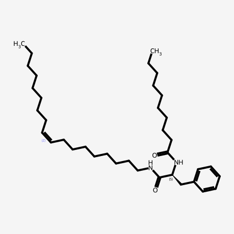 CCCCCCCC/C=C\CCCCCCCCNC(=O)[C@H](Cc1ccccc1)NC(=O)CCCCCCCCC